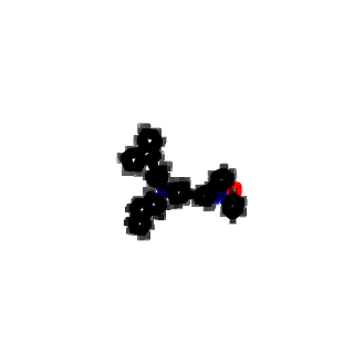 c1ccc2c(c1)Oc1cccc3c4cc(-c5ccc(N(c6ccc(-c7cc8ccccc8c8ccccc78)cc6)c6ccc7c(ccc8ccccc87)c6)cc5)ccc4n-2c13